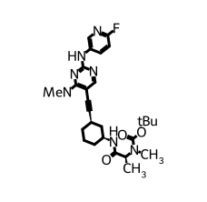 CNc1nc(Nc2ccc(F)nc2)ncc1C#C[C@@H]1CCC[C@H](NC(=O)[C@H](C)N(C)C(=O)OC(C)(C)C)C1